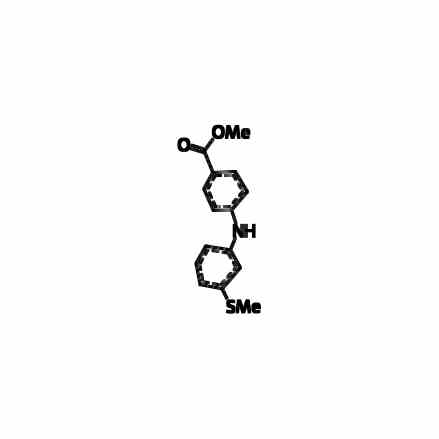 COC(=O)c1ccc(Nc2cccc(SC)c2)cc1